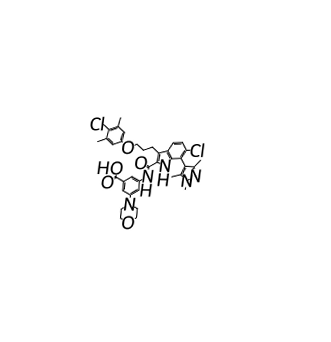 Cc1cc(OCCCc2c(C(=O)Nc3cc(C(=O)O)cc(N4CCOCC4)c3)[nH]c3c(-c4c(C)nn(C)c4C)c(Cl)ccc23)cc(C)c1Cl